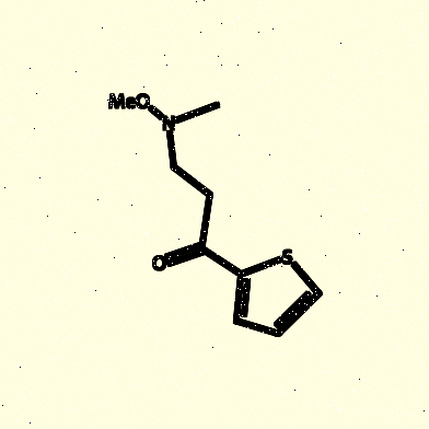 CON(C)CCC(=O)c1cccs1